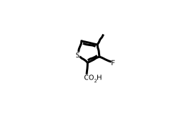 Cc1csc(C(=O)O)c1F